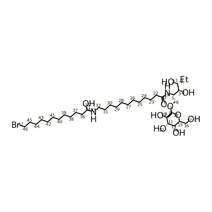 CC[C@@H](O)[C@@H](O)[C@H](COC1=C(O)[C@@H](O)[C@@H](O)C(CO)O1)NC(=O)CCCCCCCCCCCNC(O)CCCCCCCCCCCBr